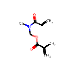 C=CC(=O)N(CC)COC(=O)C(=C)C